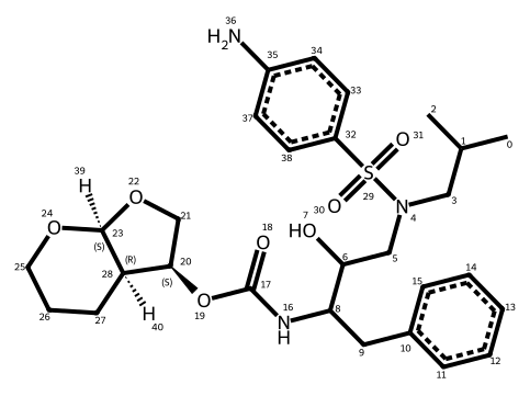 CC(C)CN(CC(O)C(Cc1ccccc1)NC(=O)O[C@@H]1CO[C@@H]2OCCC[C@@H]21)S(=O)(=O)c1ccc(N)cc1